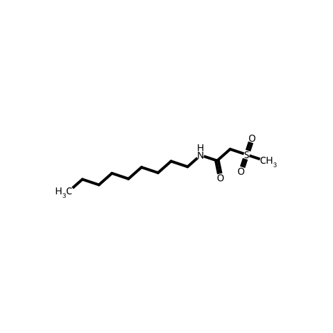 CCCCCCCCCNC(=O)CS(C)(=O)=O